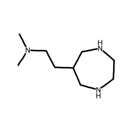 CN(C)CCC1CNCCNC1